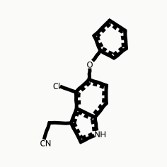 N#CCc1c[nH]c2ccc(Oc3ccccc3)c(Cl)c12